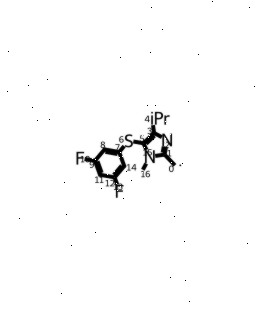 [CH2]c1nc(C(C)C)c(Sc2cc(F)cc(F)c2)n1C